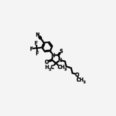 COCCCCN1C(=S)N(c2ccc(C#N)c(C(F)(F)F)c2)C(=O)C1(C)C